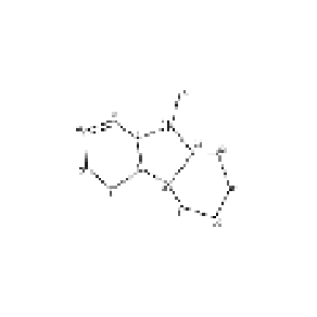 CN1C2C=CCCC2C2CCCCC21